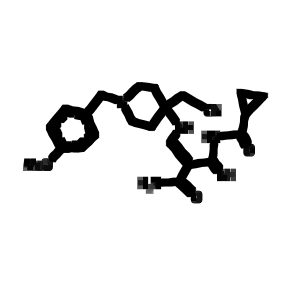 COc1ccc(CN2CCC(CC#N)(N/C=C(\C(=N)NC(=O)C3CC3)C(N)=O)CC2)cc1